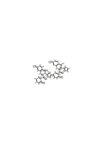 CNc1ccc(Cl)cc1CN(Cc1ccco1)C(=O)c1ccccc1Cl.Nc1ccc(Cl)cc1CN(Cc1ccco1)C(=O)c1ccccc1Cl